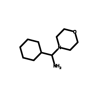 NC(C1CCCCC1)N1CCOCC1